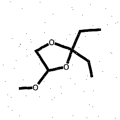 CCC1(CC)OCC(OC)O1